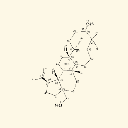 C=C(C)[C@@H]1CC[C@]2(CO)CC[C@]3(C)C(CC[C@@H]4[C@@]5(C)CC[C@H](O)C(C)(C)C5CC[C@]43C)[C@@H]12